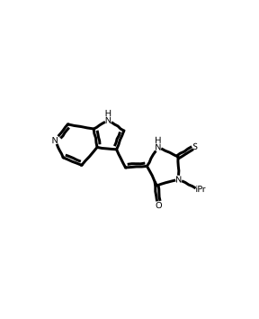 CC(C)N1C(=O)/C(=C/c2c[nH]c3cnccc23)NC1=S